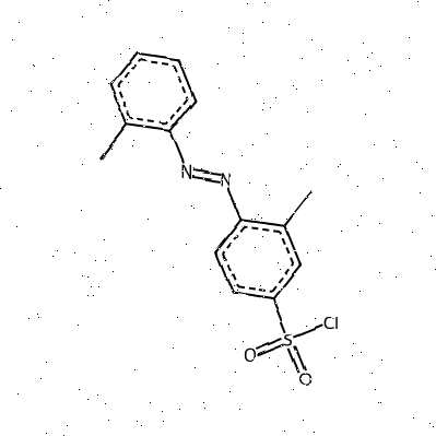 Cc1ccccc1N=Nc1ccc(S(=O)(=O)Cl)cc1C